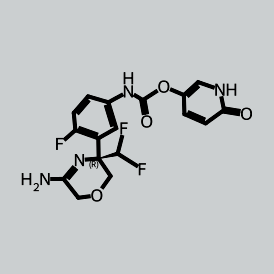 NC1=N[C@@](c2cc(NC(=O)Oc3ccc(=O)[nH]c3)ccc2F)(C(F)F)COC1